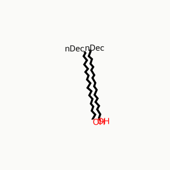 CCCCCCCCCCCCCCCCCCCCCCCCCCCCO.CCCCCCCCCCCCCCCCCCCCCCCCCCCCO